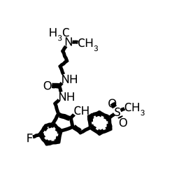 CC1=C(CNC(=O)NCCCN(C)C)c2cc(F)ccc2/C1=C/c1ccc(S(C)(=O)=O)cc1